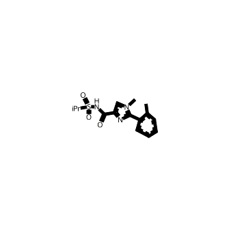 Cc1ccccc1-c1nc(C(=O)NS(=O)(=O)C(C)C)cn1C